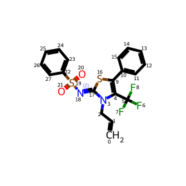 C=CCn1c(C(F)(F)F)c(-c2ccccc2)s/c1=N\S(=O)(=O)c1ccccc1